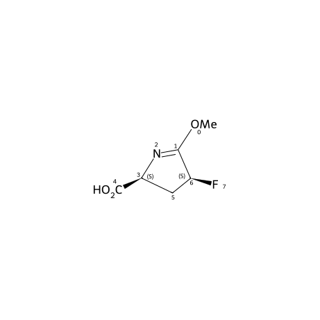 COC1=N[C@H](C(=O)O)C[C@@H]1F